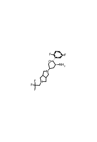 N[C@H]1C[C@@H](N2CC3CN(CC(F)(F)F)CC3C2)CO[C@@H]1c1cc(F)ccc1F